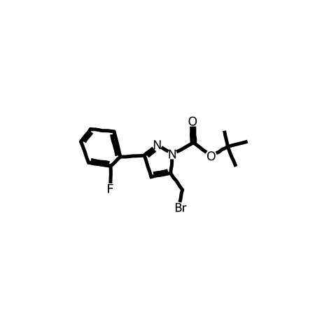 CC(C)(C)OC(=O)n1nc(-c2ccccc2F)cc1CBr